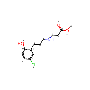 COC(=O)CCNCCCc1cc(Cl)ccc1O